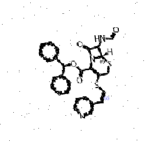 O=CNC1C(=O)N2C(C(=O)OC(c3ccccc3)c3ccccc3)=C(S/C=C\c3cccnc3)CS[C@@H]12